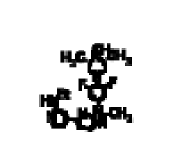 CCNc1cc(-c2ccc3nc(C)n(-c4cc(F)c(N5C[C@@H](C)N(C)[C@@H](C)C5)c(F)c4)c3n2)ccn1